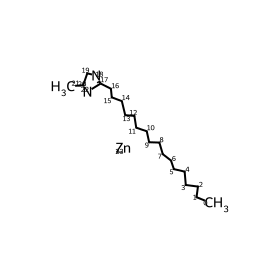 CCCCCCCCCCCCCCCCCC1=NCC(C)=N1.[Zn]